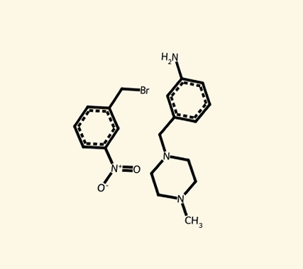 CN1CCN(Cc2cccc(N)c2)CC1.O=[N+]([O-])c1cccc(CBr)c1